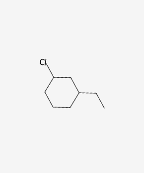 CCC1CCCC(Cl)C1